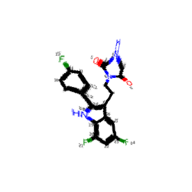 O=C1CNC(=O)N1CCc1c(-c2ccc(F)cc2)[nH]c2c(F)cc(F)cc12